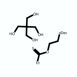 CCCCCCCCCCCCOC(=S)CC.OCC(CO)(CO)CO